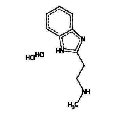 CNCCc1nc2ccccc2[nH]1.Cl.Cl